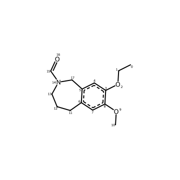 CCOc1cc2c(cc1OC)CCCN(C=O)C2